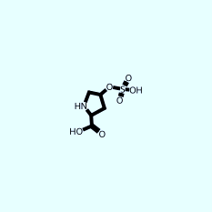 O=C(O)C1CC(OS(=O)(=O)O)CN1